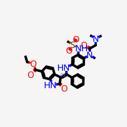 CCOC(=O)c1ccc2c(c1)NC(=O)/C2=C(/Nc1ccc(N(C)C(=O)CN(C)C)c(NS(C)(=O)=O)c1)c1ccccc1